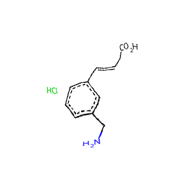 Cl.NCc1cccc(C=CC(=O)O)c1